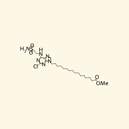 COC(=O)CCCCCCCCCCCCCCCn1cnc2c(NCCS(N)(=O)=O)nc(Cl)nc21